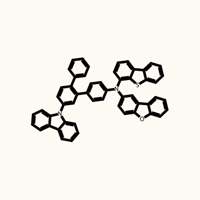 c1ccc(-c2ccc(-n3c4ccccc4c4ccccc43)cc2-c2ccc(N(c3ccc4oc5ccccc5c4c3)c3cccc4c3sc3ccccc34)cc2)cc1